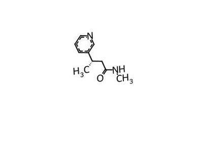 CNC(=O)C[C@H](C)c1cccnc1